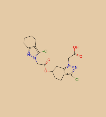 O=C(O)Cn1nc(Cl)c2c1CC(OC(=O)Cn1nc3c(c1Cl)CCCC3)CC2